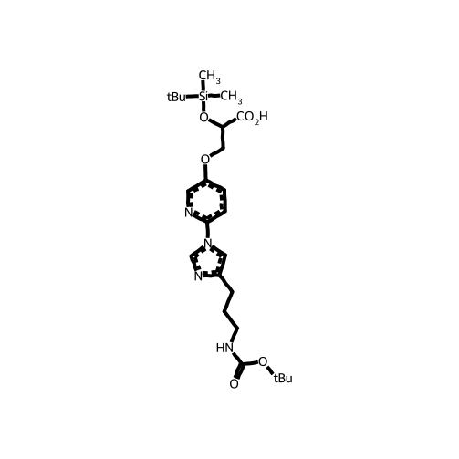 CC(C)(C)OC(=O)NCCCc1cn(-c2ccc(OCC(O[Si](C)(C)C(C)(C)C)C(=O)O)cn2)cn1